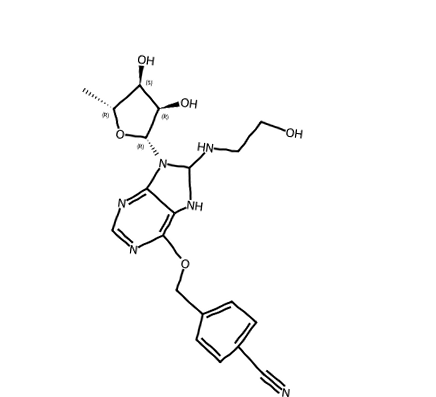 C[C@H]1O[C@@H](N2c3ncnc(OCc4ccc(C#N)cc4)c3NC2NCCO)[C@H](O)[C@@H]1O